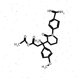 COc1ccc(C(N)(CC(=O)OC(C)=O)C2CCCN(c3ccc(C(=N)N)cc3)C2=O)cc1